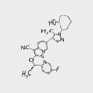 Cc1c(-c2ccc3c(C#N)c(O[C@H](C)c4ccc(F)cn4)nn3c2)cnn1C1CCCCC1O